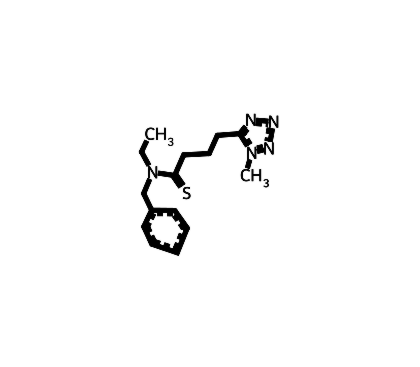 CCN(Cc1ccccc1)C(=S)CCCc1nnnn1C